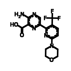 Nc1ncc(-c2nc(N3CCOCC3)ccc2C(F)(F)F)nc1C(=O)O